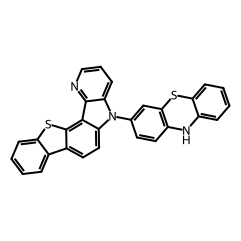 c1ccc2c(c1)Nc1ccc(-n3c4cccnc4c4c5sc6ccccc6c5ccc43)cc1S2